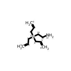 C=CC[Si](CC=C)(CC=C)CCN